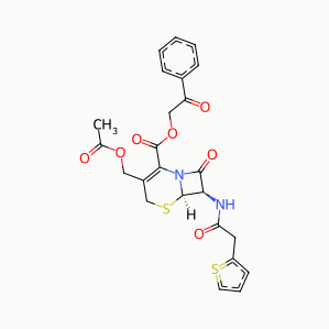 CC(=O)OCC1=C(C(=O)OCC(=O)c2ccccc2)N2C(=O)[C@@H](NC(=O)Cc3cccs3)[C@H]2SC1